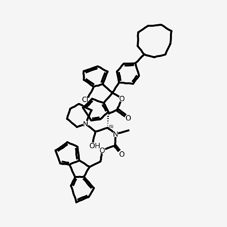 CN(C(=O)OCC1c2ccccc2-c2ccccc21)[C@@H](CC(=O)OC(c1ccccc1)(c1ccc(C2CCCCCCCC2)cc1)c1ccccc1Cl)C(O)N1CCCCC1